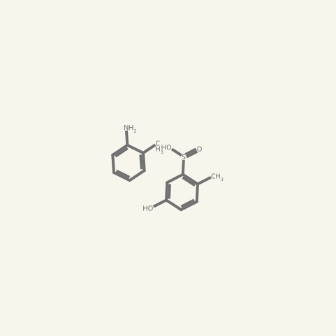 Cc1ccc(O)cc1S(=O)O.Cc1ccccc1N